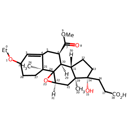 CCOC1C=C2C[C@@H](C(=O)OC)[C@H]3[C@@H]4CC[C@@](O)(CCC(=O)O)[C@@]4(C)C[C@H]4OC34[C@@]2(C)CC1